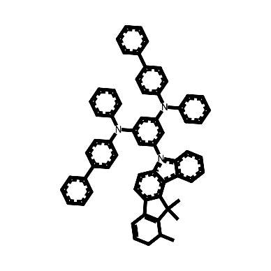 CC1CC=CC2=C1C(C)(C)c1c2ccc2c1c1ccccc1n2-c1cc(N(c2ccccc2)c2ccc(-c3ccccc3)cc2)cc(N(c2ccccc2)c2ccc(-c3ccccc3)cc2)c1